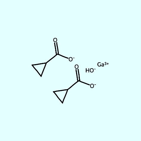 O=C([O-])C1CC1.O=C([O-])C1CC1.[Ga+3].[OH-]